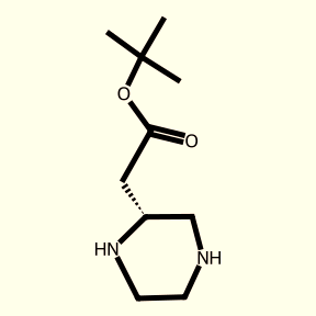 CC(C)(C)OC(=O)C[C@@H]1CNCCN1